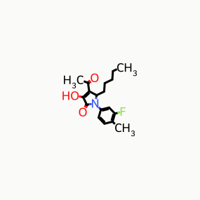 CCCCCC1C(C(C)=O)=C(O)C(=O)N1c1ccc(C)c(F)c1